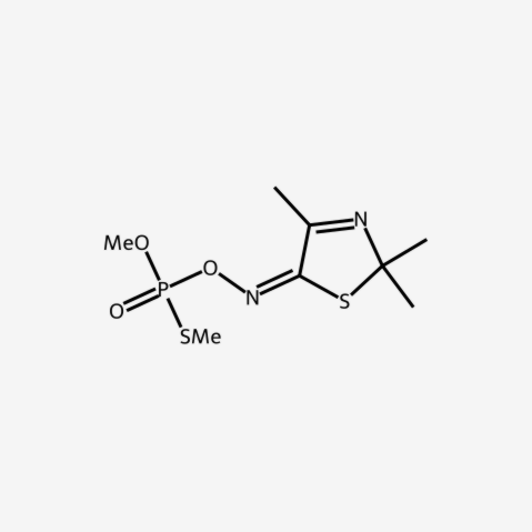 COP(=O)(ON=C1SC(C)(C)N=C1C)SC